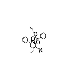 C=CCOC(=O)[C@H](Oc1nc(-c2ccccc2)cc(CC)c1C#N)c1ccccc1